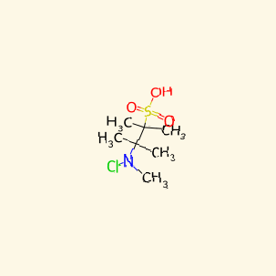 CN(Cl)C(C)(C)C(C)(C)S(=O)(=O)O